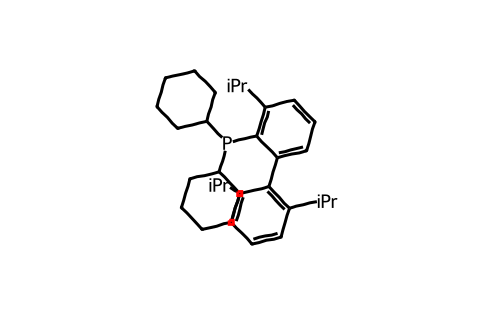 CC(C)c1cccc(C(C)C)c1-c1cccc(C(C)C)c1P(C1CCCCC1)C1CCCCC1